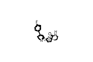 O=C1NCCC[C@@]12CC[C@H](c1cc(-c3ccc(F)cc3)ccn1)N2